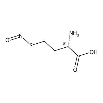 N[C@@H](CCSN=O)C(=O)O